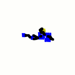 Cc1cc(Nc2nc(NC3C4CN(CCC#N)CC43)nc3ccsc23)n[nH]1